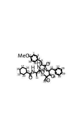 COc1ccc(CC(NC(=O)C(C)NC(=O)C2CCCCC2)C(=O)NC(Cc2ccccc2)C(=O)C2(C)CO2)cc1